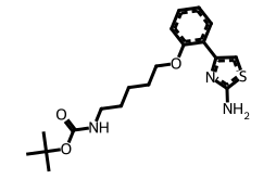 CC(C)(C)OC(=O)NCCCCCOc1ccccc1-c1csc(N)n1